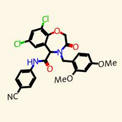 COc1ccc(CN2C(=O)COc3c(Cl)cc(Cl)cc3C2C(=O)Nc2ccc(C#N)cc2)c(OC)c1